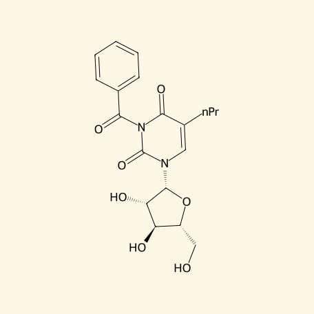 CCCc1cn([C@@H]2O[C@H](CO)[C@@H](O)[C@@H]2O)c(=O)n(C(=O)c2ccccc2)c1=O